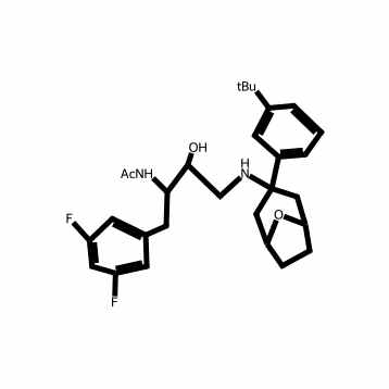 CC(=O)NC(Cc1cc(F)cc(F)c1)C(O)CNC1(c2cccc(C(C)(C)C)c2)CC2CCC(C1)O2